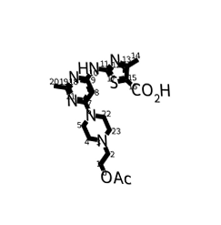 CC(=O)OCCN1CCN(c2cc(Nc3nc(C)c(C(=O)O)s3)nc(C)n2)CC1